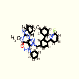 CN1C(=O)c2c(nn(Cc3ccc(-c4cccc(F)n4)c(-c4cccc(C(=O)O)c4)c3)c2Nc2ccccc2)N2C1=N[C@@H]1CCC[C@@H]12